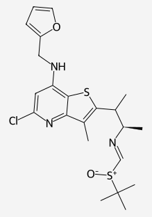 Cc1c(C(C)[C@@H](C)/N=C/[S+]([O-])C(C)(C)C)sc2c(NCc3ccco3)cc(Cl)nc12